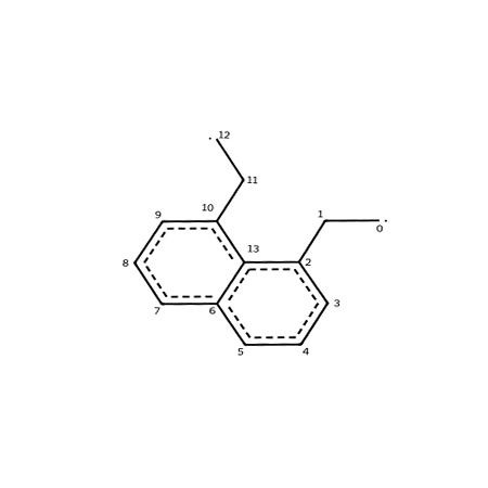 [CH2]Cc1cccc2cccc(C[CH2])c12